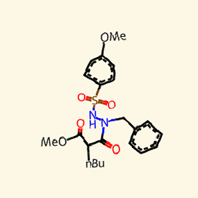 CCCCC(C(=O)OC)C(=O)N(Cc1ccccc1)NS(=O)(=O)c1ccc(OC)cc1